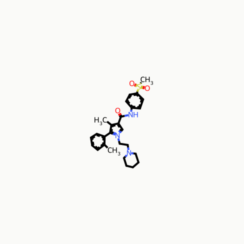 Cc1ccccc1-c1c(C)c(C(=O)Nc2ccc(S(C)(=O)=O)cc2)cn1CCN1CCCCC1